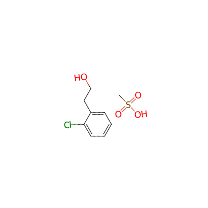 CS(=O)(=O)O.OCCc1ccccc1Cl